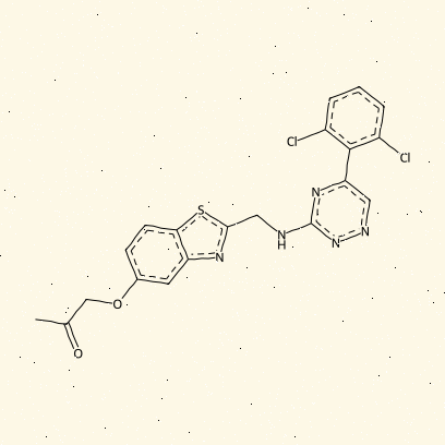 CC(=O)COc1ccc2sc(CNc3nncc(-c4c(Cl)cccc4Cl)n3)nc2c1